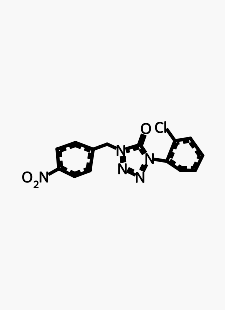 O=c1n(Cc2ccc([N+](=O)[O-])cc2)nnn1-c1ccccc1Cl